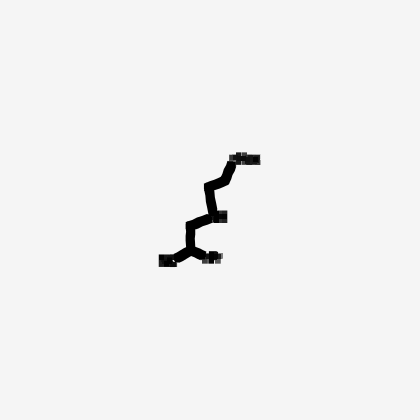 CCCCCCCCNCC(C#N)CCC